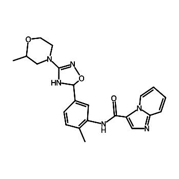 Cc1ccc(C2NC(N3CCOC(C)C3)=NO2)cc1NC(=O)c1cnc2ccccn12